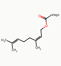 CCCCCCCC(=O)OCC=C(C)CCC=C(C)C